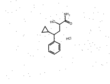 Cl.NC(=O)C(O)CC(c1ccccc1)C1CC1